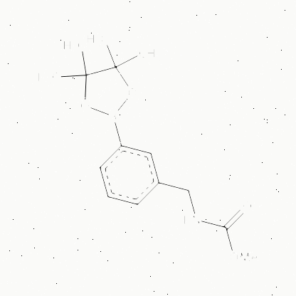 COC(=O)NCc1cccc(B2OC(C)(C)C(C)(C)O2)c1